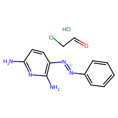 Cl.Nc1ccc(/N=N/c2ccccc2)c(N)n1.O=CCCl